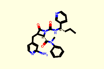 CCC[C@H](NC(=O)N1C(=O)C(Cc2ccnc(N)c2)[C@H]1C(=O)N(C)c1ccccc1)c1cccnc1